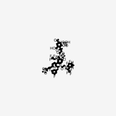 CC(=O)c1cc(OP(=O)(O)O)c(C(C)(C)CC(=O)N(c2nn(CC(F)(F)F)c3c(-c4ccc(C#CC(C)(C)S(C)(=O)=O)nc4[C@H](Cc4cc(F)cc(F)c4)NC(=O)Cn4nc(C(F)(F)F)c5c4C(F)(F)[C@@H]4C[C@H]54)ccc(Cl)c23)S(C)(=O)=O)c(C(=O)O)c1